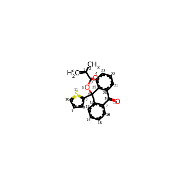 C=C(C)C(=O)OC1(c2cccs2)c2ccccc2C(=O)c2ccccc21